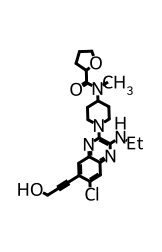 CCNc1nc2cc(Cl)c(C#CCO)cc2nc1N1CCC(N(C)C(=O)C2CCCO2)CC1